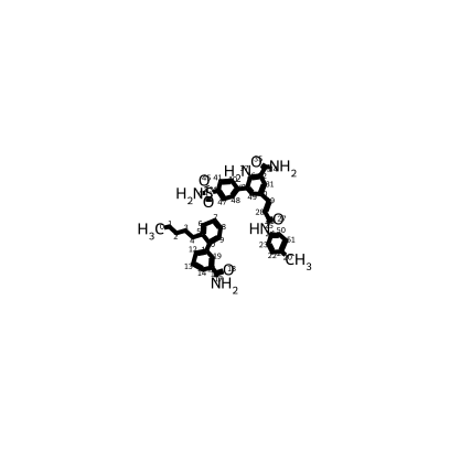 CCCCCc1ccccc1-c1cccc(C(N)=O)c1.Cc1ccc(NC(=O)/C=C/c2cc(C(N)=O)c(N)c(-c3ccc(S(N)(=O)=O)cc3)c2)cc1